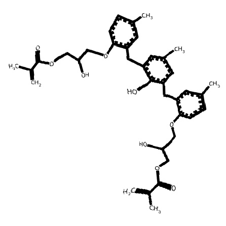 C=C(C)C(=O)OCC(O)COc1ccc(C)cc1Cc1cc(C)cc(Cc2cc(C)ccc2OCC(O)COC(=O)C(=C)C)c1O